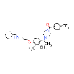 Cc1c(OCCCNCC2CCCCC2)ccc(C(C)N2CCN(C(=O)c3ccc(C(F)(F)F)cc3)CC2)c1C